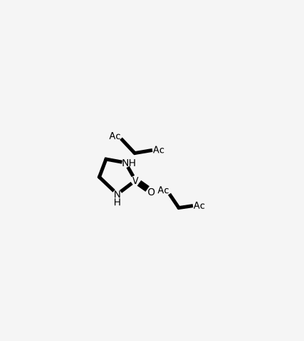 CC(=O)CC(C)=O.CC(=O)CC(C)=O.[O]=[V]1[NH]CC[NH]1